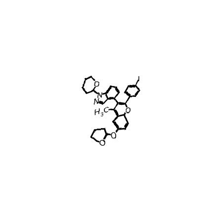 CC1=C2C=C(OC3CCCCO3)C=CC2OC(c2ccc(I)cc2)=C1c1cccc2c1cnn2C1CCCCO1